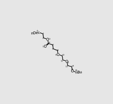 CCCCCCCCCCCCOC(=O)CCCOCCOCCOCCCC